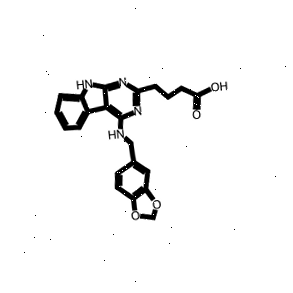 O=C(O)CCCc1nc(NCc2ccc3c(c2)OCO3)c2c(n1)[nH]c1ccccc12